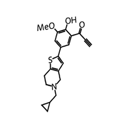 C#CC(=O)c1cc(-c2cc3c(s2)CCN(CC2CC2)C3)cc(OC)c1O